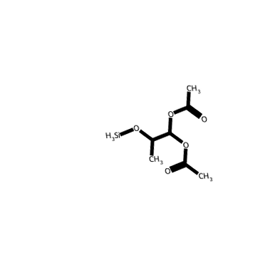 CC(=O)OC(OC(C)=O)C(C)O[SiH3]